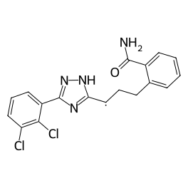 NC(=O)c1ccccc1CC[CH]c1nc(-c2cccc(Cl)c2Cl)n[nH]1